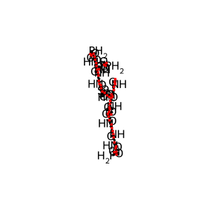 CCC(=O)NCCCCCCNC(=O)[C@H](CCCCNC(=O)CCN1C(=O)CC(SCCC(=O)NCCCCCCNC(=O)CCCCCNC(=O)CCN2C(=O)CC(P)C2=O)C1=O)NC(=O)CCN1C(=O)CC(SCCC(=O)NCCCCCCNC(=O)C(CCCCNC(=O)CCN2C(=O)CC(P)C2=O)NC(=O)CCN2C(=O)CC(P)C2=O)C1=O